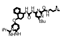 CC(C)C(=N)n1cc(OC2CCC(NC(=O)Nc3cc(C(C)(C)C)nc(C(=O)NCCN(C)C)n3)c3ccccc32)ccc1=N